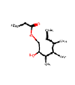 CCCCCCCCCCCC(=O)OCC(O)C(OC(C)=O)C(OC(C)=O)C(COC(C)=O)OC(C)=O